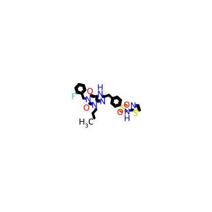 CCCCn1c(=O)n(Cc2ccccc2F)c(=O)c2[nH]c(Cc3ccc(S(=O)(=O)Nc4nccs4)cc3)nc21